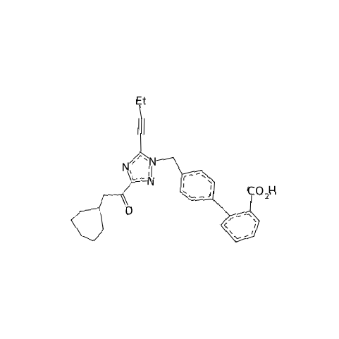 CCC#Cc1nc(C(=O)CC2CCCCC2)nn1Cc1ccc(-c2ccccc2C(=O)O)cc1